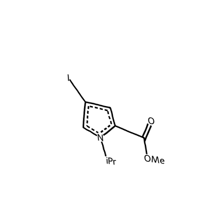 COC(=O)c1cc(I)cn1C(C)C